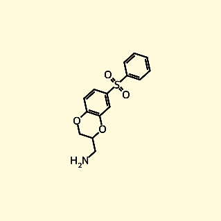 NCC1COc2ccc(S(=O)(=O)c3ccccc3)cc2O1